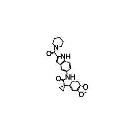 O=C(c1cc2cc(NC(=O)C3(c4ccc5c(c4)OCO5)CC3)ccc2[nH]1)N1CCCCC1